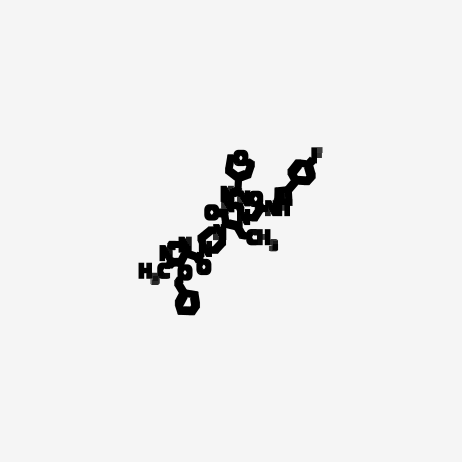 CCc1c(N2CCN(C(=O)c3ncnc(C)c3OCc3ccccc3)CC2)c(=O)n2nc(C3=CCOCC3)nc2n1CC(=O)NC12CC(c3ccc(F)cc3)(C1)C2